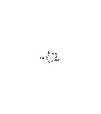 [Eu].c1c[nH]nn1